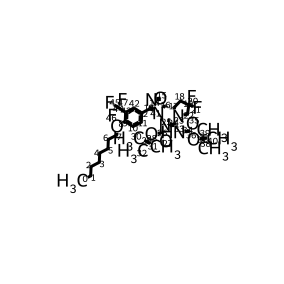 CCCCCCCCOc1ccc(-c2noc([C@@H]3CC(F)(F)CN3/C(=N/C(=O)OC(C)(C)C)NC(=O)OC(C)(C)C)n2)cc1C(F)(F)F